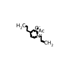 C=CCc1cc[n+](CC=C)cc1.CC(=O)[O-]